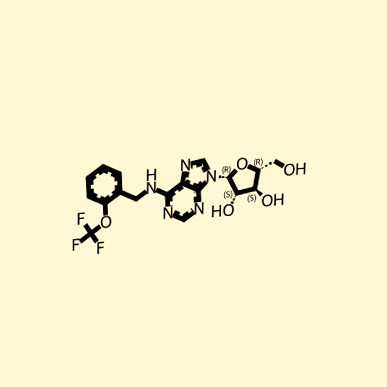 OC[C@H]1O[C@@H](n2cnc3c(NCc4ccccc4OC(F)(F)F)ncnc32)[C@@H](O)[C@@H]1O